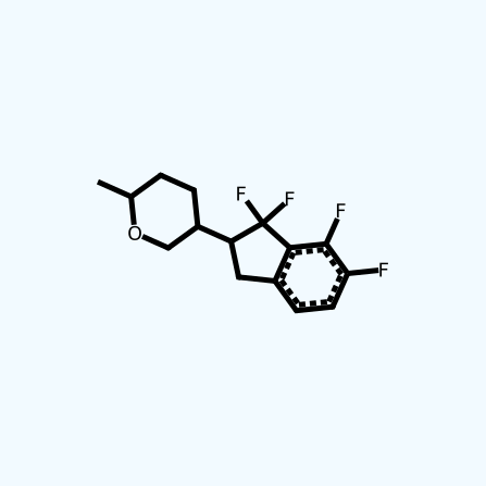 CC1CCC(C2Cc3ccc(F)c(F)c3C2(F)F)CO1